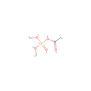 COP(=O)(OC)OC(C)=O